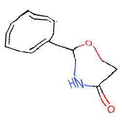 O=C1COC(c2[c]cccc2)N1